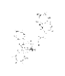 C[C@@]1(c2ccccc2)N=C(COCC2COc3ccccc3O2)N[C@@H]1c1ccccc1